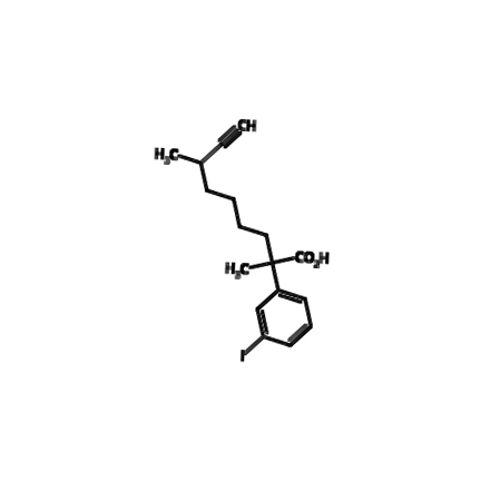 C#CC(C)CCCCC(C)(C(=O)O)c1cccc(I)c1